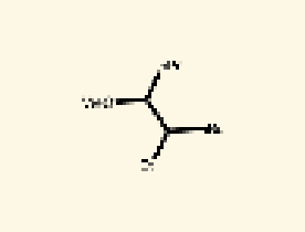 CCCC(OC)C(CC)C(C)CC